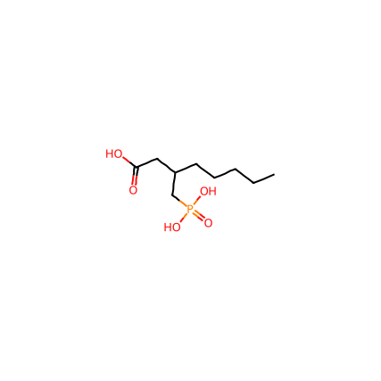 CCCCCC(CC(=O)O)CP(=O)(O)O